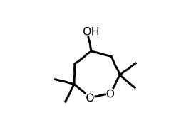 CC1(C)CC(O)CC(C)(C)OO1